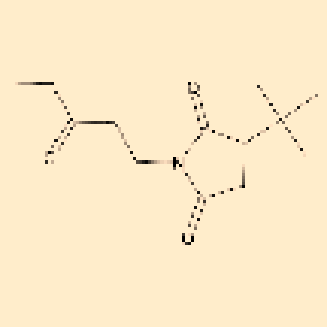 CCC(=O)CCN1C(=O)CC(C(C)(C)C)C1=O